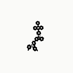 Cc1cccc(-n2c3ccc(C)cc3c3cc(-c4ccc5c(c4)c4ccccc4n5-c4ccc(-c5c6ccccc6c(-c6ccccc6)c6ccccc56)cc4)ccc32)c1